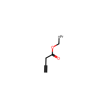 C#CCC(=O)OCCCC